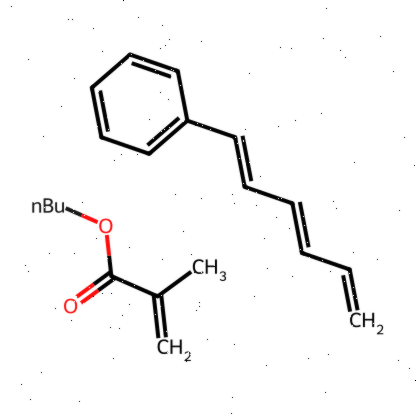 C=C(C)C(=O)OCCCC.C=CC=CC=Cc1ccccc1